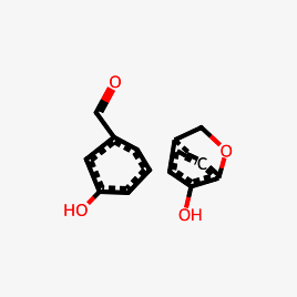 O=Cc1cccc(O)c1.Oc1cc2ccc1OC2